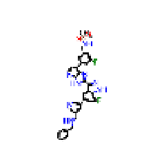 CS(=O)(=O)NCc1cc(F)cc(-c2ccnc3[nH]c(-c4n[nH]c5c(F)cc(-c6cncc(CNCc7ccccc7)c6)cc45)nc23)c1